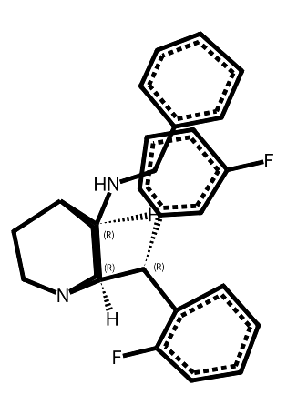 Fc1cccc([C@H](c2ccccc2F)[C@@H]2[C@H](NCc3ccccc3)C3CCN2CC3)c1